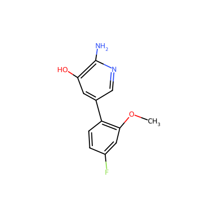 COc1cc(F)ccc1-c1cnc(N)c(O)c1